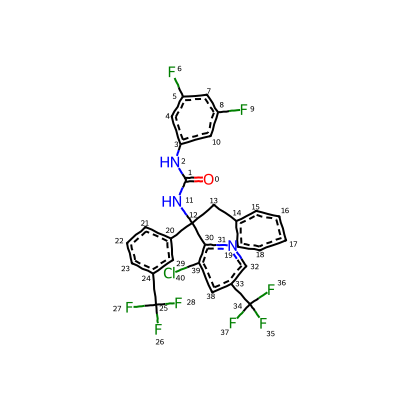 O=C(Nc1cc(F)cc(F)c1)NC(Cc1ccccc1)(c1cccc(C(F)(F)F)c1)c1ncc(C(F)(F)F)cc1Cl